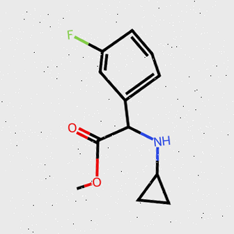 COC(=O)C(NC1CC1)c1cccc(F)c1